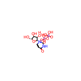 O=C1C=C[N+](OP(=O)(O)OP(=O)(O)O)([C@@H]2O[C@H](CO)[C@@H](O)[C@H]2O)C(=O)N1